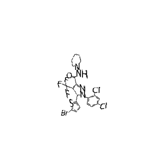 O=C(NN1CCCCC1)C1=NN(c2ccc(Cl)cc2Cl)C(c2ccc(Br)s2)C1C(F)(F)F